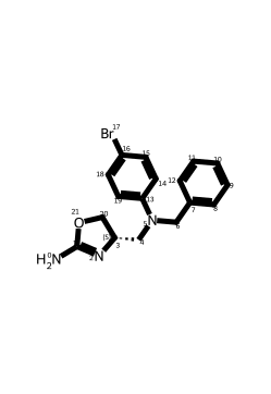 NC1=N[C@@H](CN(Cc2ccccc2)c2ccc(Br)cc2)CO1